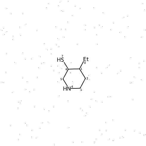 [CH]CC1CCNCC1S